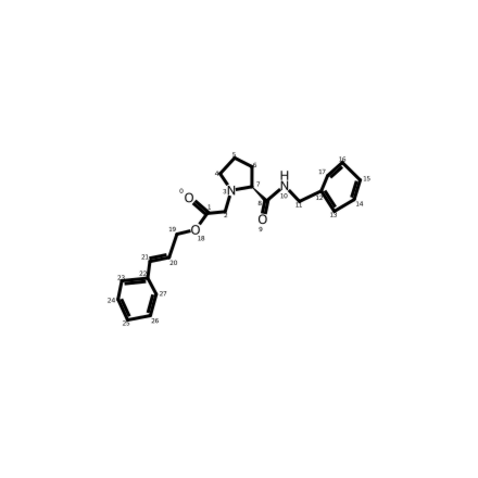 O=C(CN1CCC[C@H]1C(=O)NCc1ccccc1)OCC=Cc1ccccc1